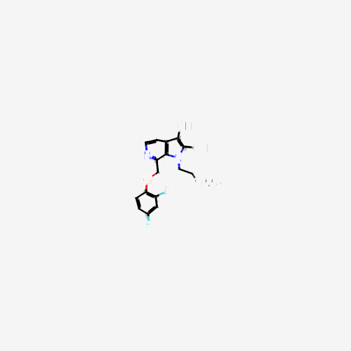 COCCn1c(C)c(C)c2ccnc(COc3ccc(F)cc3F)c21